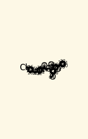 COc1cc(OCC(=O)N2CCN(Cc3ccc(Cl)cc3)CC2)c2c(=O)cc(-c3ccccc3)oc2c1